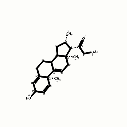 CC(=O)OCC(=O)[C@H]1[C@@H](C)CC2C3CCC4=CC(O)C=C[C@]4(C)C3=CC[C@@]21C